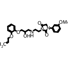 C=CCOc1ccccc1OCC(O)CNCCN1C(=O)CN(c2cccc(OC)c2)C1=O